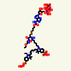 CCOCCNC(=O)C(CSSCCCOC(=O)Nc1ncnc2c1ncn2[C@H]1C[C@@H](O)[C@@H](COP(=O)(O)OP(=O)(O)OP(=O)(O)O)O1)NC(=O)CCCCCN1/C(=C/C=C/C=C/C2=[N+](CC)c3ccc(SOOO)cc3C2(C)C)C(C)(C)c2cc(S(=O)(=O)O)ccc21